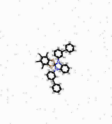 Cc1c(C)c(C)c2c(c1C)SC1(S2)N(c2cccc(-c3ccccc3)c2)c2ccccc2N1c1cccc(-c2ccccc2)c1